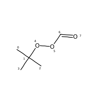 CC(C)(C)OOC=O